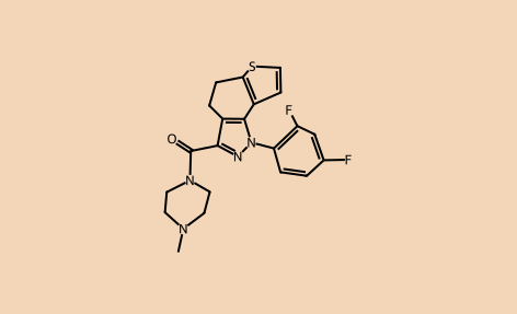 CN1CCN(C(=O)c2nn(-c3ccc(F)cc3F)c3c2CCc2sccc2-3)CC1